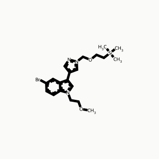 COCCn1cc(-c2cnn(COCC[Si](C)(C)C)c2)c2cc(Br)ccc21